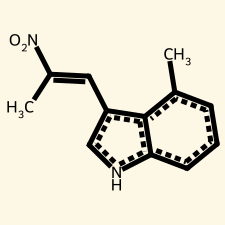 CC(=Cc1c[nH]c2cccc(C)c12)[N+](=O)[O-]